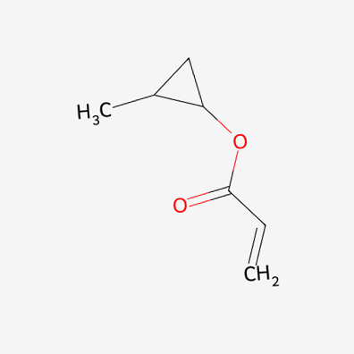 C=CC(=O)OC1CC1C